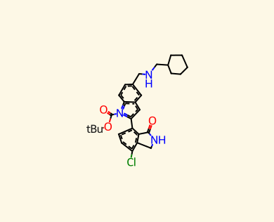 CC(C)(C)OC(=O)n1c(-c2ccc(Cl)c3c2C(=O)NC3)cc2cc(CNCC3CCCCC3)ccc21